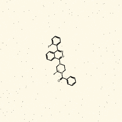 C[C@H]1CN(c2nnc(-c3ccccc3F)c3ccccc23)CCN1C(=O)c1ccccc1